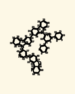 c1ccc(-c2cc(-c3ccccc3)nc(-n3c4ccccc4c4ccc(-c5ccc6c(c5)c5ccccc5n6-c5cncc(-c6ccc7oc8cccnc8c7c6)c5)cc43)c2)cc1